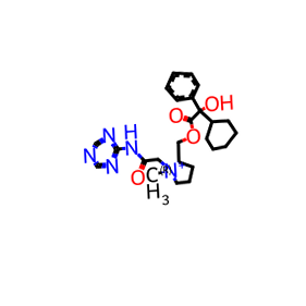 C[N@+]1(CC(=O)Nc2ncncn2)CCCC1COC(=O)C(O)(c1ccccc1)C1CCCCC1